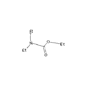 [CH2]CN(C[CH2])C(=O)OCC